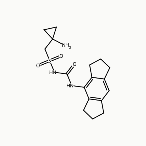 NC1(CS(=O)(=O)NC(=O)Nc2c3c(cc4c2CCC4)CCC3)CC1